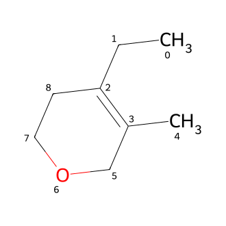 CCC1=C(C)COCC1